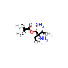 C=C(C)C(=O)OCC(N)(CC)CC.N